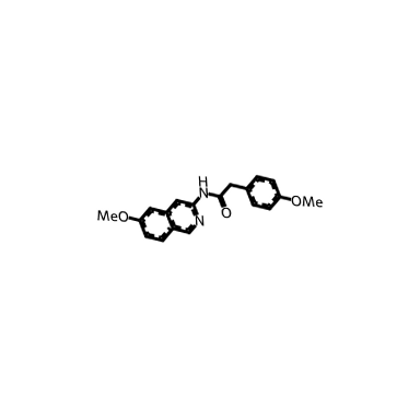 COc1ccc(CC(=O)Nc2cc3cc(OC)ccc3cn2)cc1